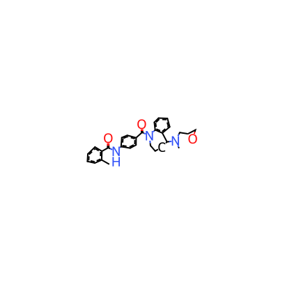 Cc1ccccc1C(=O)Nc1ccc(C(=O)N2CCCC(N(C)CC3CO3)c3ccccc32)cc1